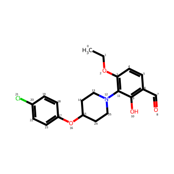 CCOc1ccc(C=O)c(O)c1N1CCC(Oc2ccc(Cl)cc2)CC1